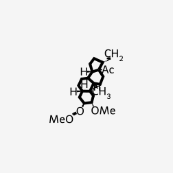 C=C[C@H]1CC[C@H]2[C@@H]3CC[C@H]4C[C@H](OCOC)[C@@H](OC)C[C@]4(C)[C@H]3CC[C@]12C(C)=O